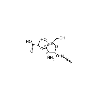 CC(O[C@H]1[C@H](O)[C@@H](CO)OC(ON=[N+]=[N-])[C@@H]1N)C(=O)O